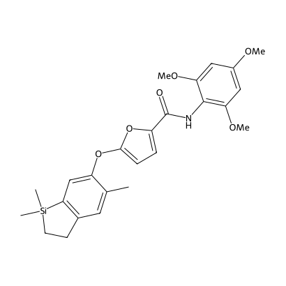 COc1cc(OC)c(NC(=O)c2ccc(Oc3cc4c(cc3C)CC[Si]4(C)C)o2)c(OC)c1